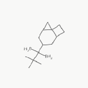 BC(B)(C1CC2CCC23CC3C1)C(C)(C)C